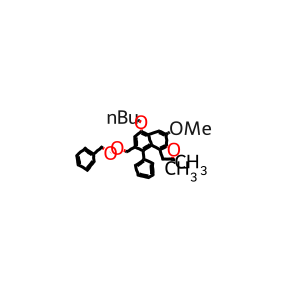 CCCCOc1cc(COOCc2ccccc2)c(-c2ccccc2)c2c3c(c(OC)cc12)OC(C)(C)C3